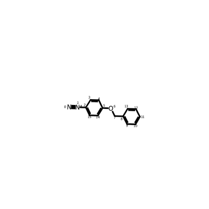 N#[N+]c1ccc(OCc2ccccc2)cc1